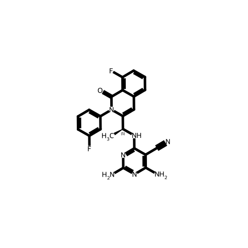 C[C@H](Nc1nc(N)nc(N)c1C#N)c1cc2cccc(F)c2c(=O)n1-c1cccc(F)c1